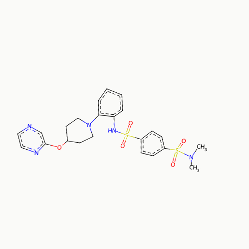 CN(C)S(=O)(=O)c1ccc(S(=O)(=O)Nc2ccccc2N2CCC(Oc3cnccn3)CC2)cc1